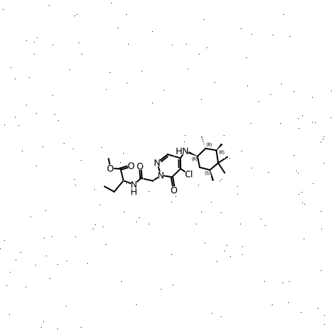 CCC(NC(=O)Cn1ncc(N[C@@H]2C[C@H](C)C(C)(C)[C@H](C)[C@H]2C)c(Cl)c1=O)C(=O)OC